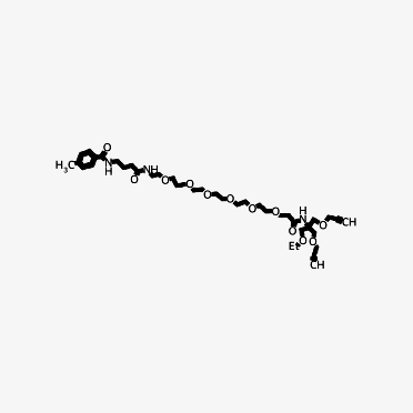 C#CCOCC(COCC)(COCC#C)NC(=O)CCOCCOCCOCCOCCOCCOCCNC(=O)CCCNC(=O)c1ccc(C)cc1